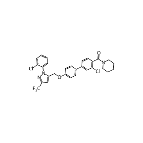 O=C(c1ccc(-c2ccc(OCc3cc(C(F)(F)F)nn3-c3ccccc3Cl)cc2)cc1Cl)N1CCCCC1